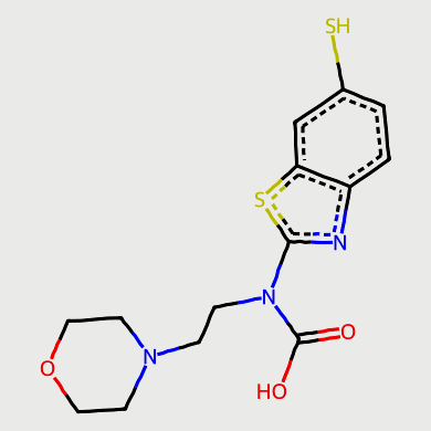 O=C(O)N(CCN1CCOCC1)c1nc2ccc(S)cc2s1